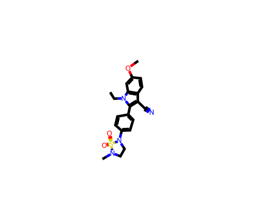 CCn1c(-c2ccc(N3CCN(C)S3(=O)=O)cc2)c(C#N)c2ccc(OC)cc21